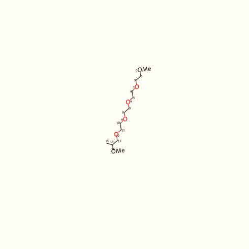 COCCOCCOCCOCCOCC(C)OC